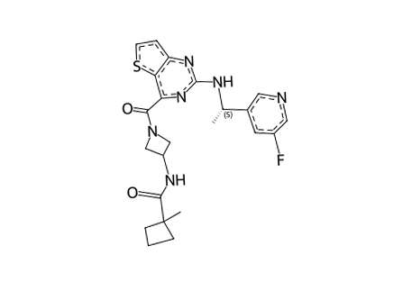 C[C@H](Nc1nc(C(=O)N2CC(NC(=O)C3(C)CCC3)C2)c2sccc2n1)c1cncc(F)c1